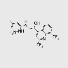 C=C(C)/C=C(\NN)NCC(O)c1cc(C(F)(F)F)nc2c(C(F)(F)F)cccc12